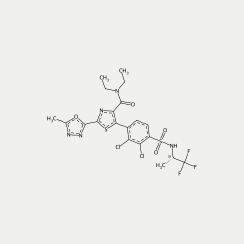 CCN(CC)C(=O)c1nc(-c2nnc(C)o2)sc1-c1ccc(S(=O)(=O)N[C@@H](C)C(F)(F)F)c(Cl)c1Cl